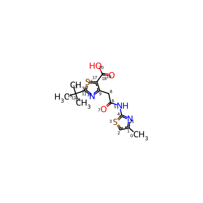 Cc1csc(NC(=O)Cc2nc(C(C)(C)C)sc2C(=O)O)n1